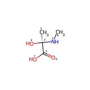 CN[C@](C)(O)C(=O)O